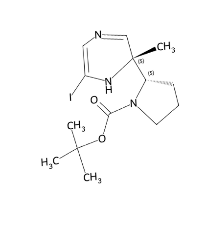 CC(C)(C)OC(=O)N1CCC[C@H]1[C@@]1(C)C=NC=C(I)N1